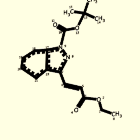 CCOC(=O)/C=C/c1nn(C(=O)OC(C)(C)C)c2ccccc12